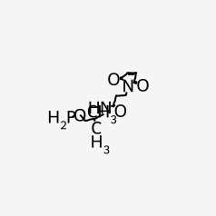 CC(C)(CNC(=O)CCN1C(=O)C=CC1=O)COP